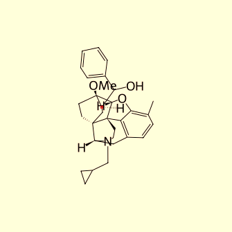 CO[C@]12CC[C@@]3(C[C@@H]1C(O)c1ccccc1)[C@H]1Cc4ccc(C)c5c4[C@@]3(CCN1CC1CC1)[C@H]2O5